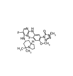 COc1cc(F)c(Nc2ncc(F)c(N[C@@H]3C[C@@H]4CCCN4C(C)(C)C3)n2)cc1-n1nnn(C)c1=O